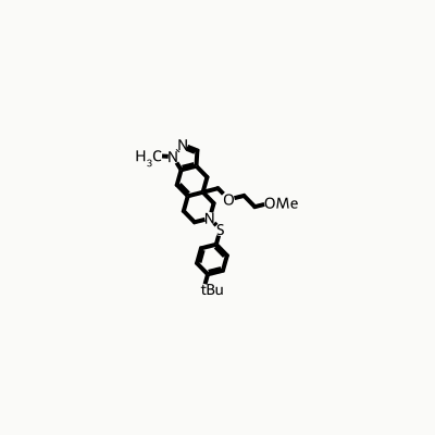 COCCOCC12Cc3cnn(C)c3C=C1CCN(Sc1ccc(C(C)(C)C)cc1)C2